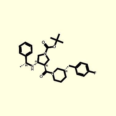 C[C@@H](N[C@@H]1CN(C(=O)OC(C)(C)C)C[C@H]1C(=O)N1CCC[C@@H](Cc2ccc(F)cc2)C1)c1ccccc1